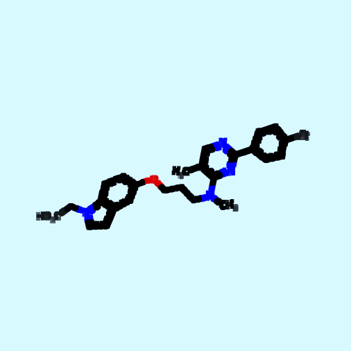 CCc1ccc(-c2ncc(C)c(N(C)CCCOc3ccc4c(ccn4CC(=O)O)c3)n2)cc1